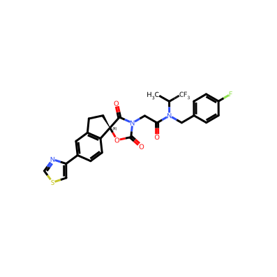 CC(N(Cc1ccc(F)cc1)C(=O)CN1C(=O)O[C@@]2(CCc3cc(-c4cscn4)ccc32)C1=O)C(F)(F)F